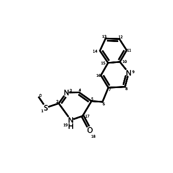 CSc1ncc(Cc2cnc3ccccc3c2)c(=O)[nH]1